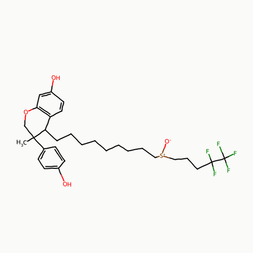 CC1(c2ccc(O)cc2)COc2cc(O)ccc2C1CCCCCCCCC[S+]([O-])CCCC(F)(F)C(F)(F)F